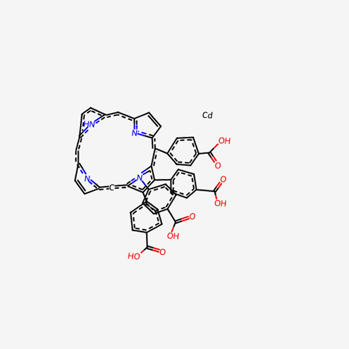 O=C(O)c1ccc(-c2c(-c3ccc(C(=O)O)cc3)c3c(-c4ccc(C(=O)O)cc4)c4nc(cc5ccc(cc6nc(cc2n3-c2ccc(C(=O)O)cc2)C=C6)[nH]5)C=C4)cc1.[Cd]